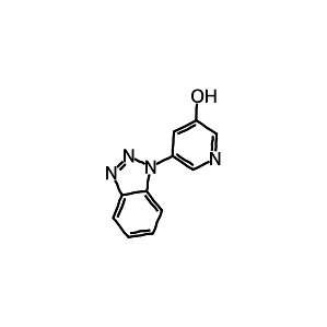 Oc1cncc(-n2nnc3ccccc32)c1